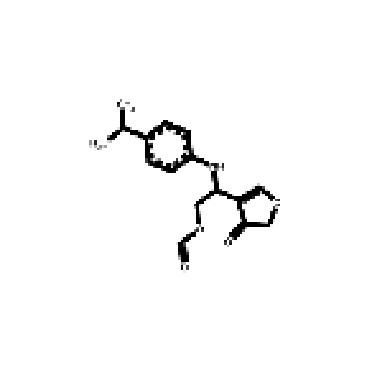 CC(C)c1ccc(NC(COC=O)C2=COCC2=O)cc1